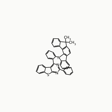 CC1(C)c2ccccc2-c2c1ccc1c3ccccc3n(-c3ccccc3-c3nc(-c4ccccc4)nc4sc5ccccc5c34)c21